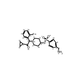 NCc1ccc(S(=O)(=O)SC2CCN(C(C(=O)C3CC3)c3ccccc3F)CC2)cc1